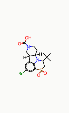 CC(C)(C)C1CS(=O)(=O)c2cc(Br)cc3c2N1[C@H]1CCN(C(=O)O)C[C@@H]31